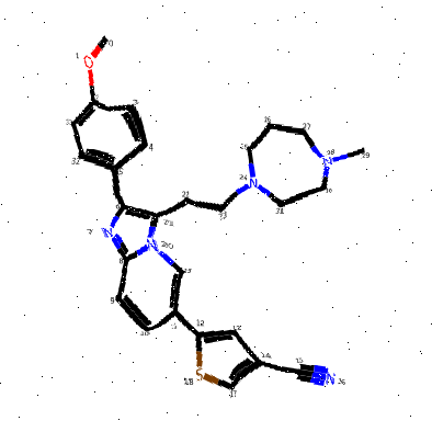 COc1ccc(-c2nc3ccc(-c4cc(C#N)cs4)cn3c2CCN2CCCN(C)CC2)cc1